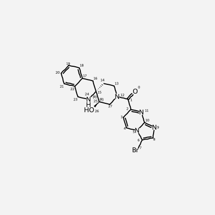 O=C(c1ccn2c(Br)cnc2n1)N1CC[C@]2(Cc3ccccc3CN2)[C@H](O)C1